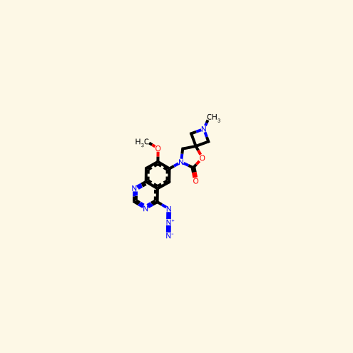 COc1cc2ncnc(N=[N+]=[N-])c2cc1N1CC2(CN(C)C2)OC1=O